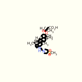 C=C(C)[C@@H]1CC[C@]2(NCCN3CCC(S(C)(=O)=O)CC3)CC[C@]3(C)[C@H](CCC4[C@@]5(C)CC[C@H](OC(=O)C(C)(C)CC(=O)O)C(C)(C)[C@@H]5CC[C@]43C)[C@@H]12